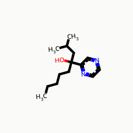 CCCCCC(O)(CC(C)C)c1cnccn1